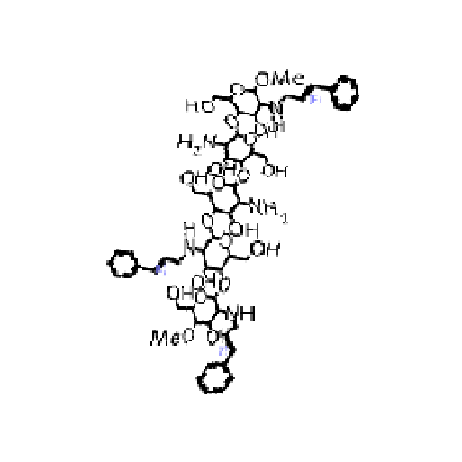 COC1OC(CO)C(OC2OC(CO)C(OC3OC(CO)C(OC4OC(CO)C(OC5OC(CO)C(OC)C(O)C5NC/C=C/c5ccccc5)C(O)C4NC/C=C/c4ccccc4)C(O)C3N)C(O)C2N)C(O)C1NC/C=C/c1ccccc1